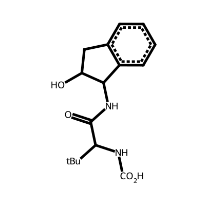 CC(C)(C)C(NC(=O)O)C(=O)NC1c2ccccc2CC1O